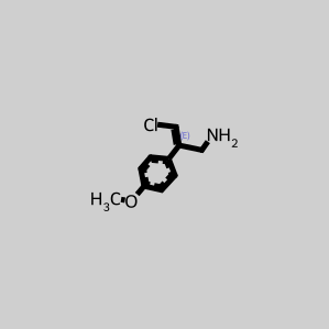 COc1ccc(/C(=C\Cl)CN)cc1